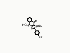 CCCCn1c(-c2ccc(C(C)C)cc2)nc2c1C(=O)c1ccccc1C2=NO